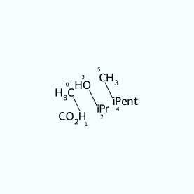 CC(=O)O.CC(C)O.CCCC(C)C